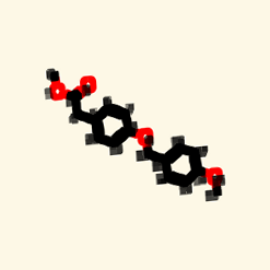 COC(=O)Cc1ccc(OCc2ccc(OC)cc2)cc1